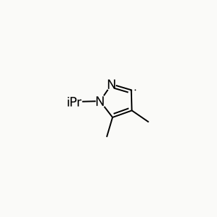 Cc1[c]nn(C(C)C)c1C